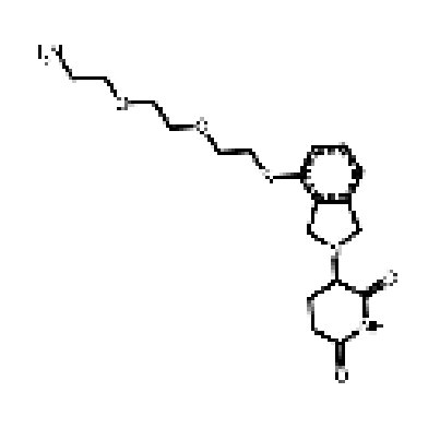 NCCOCCOCCSc1cccc2c1CN(C1CCC(=O)NC1=O)C2